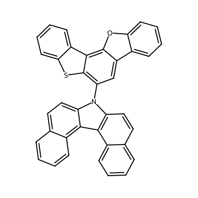 c1ccc2c(c1)ccc1c2c2c3ccccc3ccc2n1-c1cc2c3ccccc3oc2c2c1sc1ccccc12